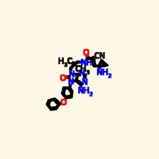 CC(C)(CNC(=O)C(C#N)=CC1(N)CC1)Cn1c(=O)n(-c2ccc(Oc3ccccc3)cc2)c2c(N)ncnc21